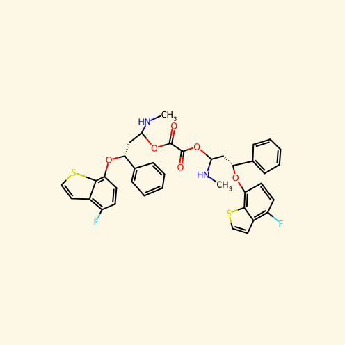 CNC(C[C@@H](Oc1ccc(F)c2ccsc12)c1ccccc1)OC(=O)C(=O)OC(C[C@@H](Oc1ccc(F)c2ccsc12)c1ccccc1)NC